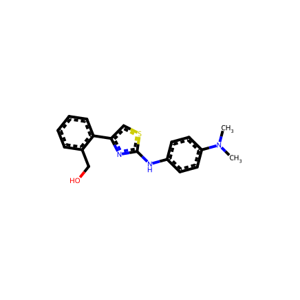 CN(C)c1ccc(Nc2nc(-c3ccccc3CO)cs2)cc1